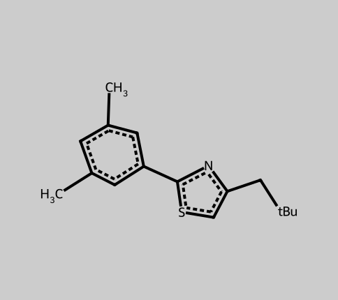 Cc1cc(C)cc(-c2nc(CC(C)(C)C)cs2)c1